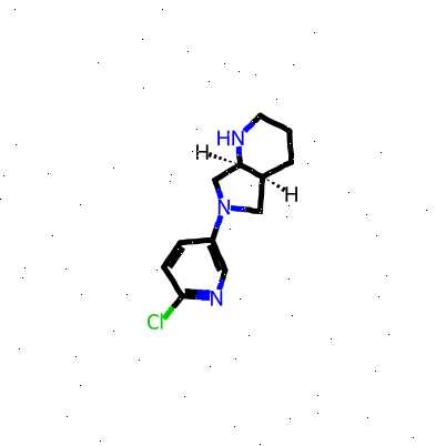 Clc1ccc(N2C[C@@H]3CCCN[C@@H]3C2)cn1